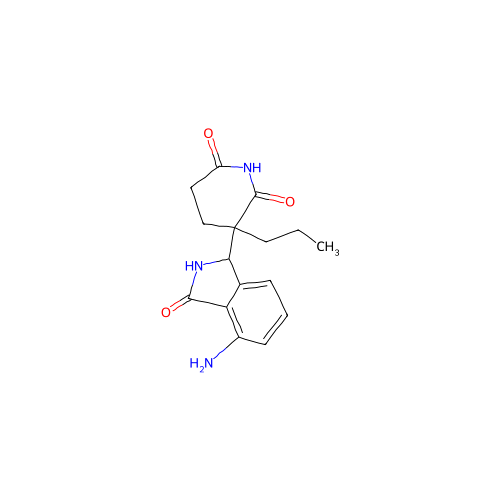 CCCC1(C2NC(=O)c3c(N)cccc32)CCC(=O)NC1=O